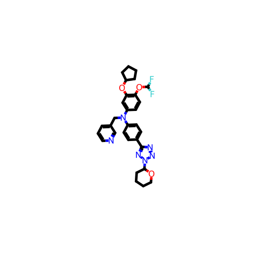 FC(F)Oc1ccc(N(Cc2cccnc2)c2ccc(-c3nnn(C4CCCCO4)n3)cc2)cc1OC1CCCC1